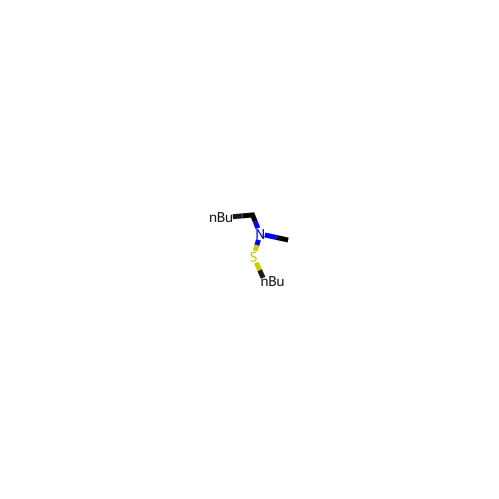 CCCCCN(C)SCCCC